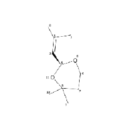 CC(C)=C[C@H]1OCCC(C)(C)O1